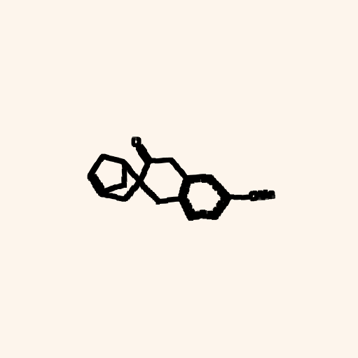 COc1ccc2c(c1)CC(=O)C1(CC3=CCC1C3)C2